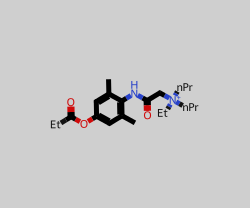 CCC[N+](CC)(CCC)CC(=O)Nc1c(C)cc(OC(=O)CC)cc1C